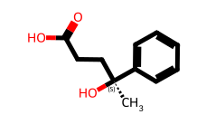 C[C@](O)(CCC(=O)O)c1ccccc1